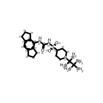 BC(B)(B)C(B)(B)N1CCC(S(=O)(=O)NC(=O)Nc2c3c(cc4c2CCC4)CCC3)CC1